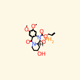 C=CCOC(=O)N1c2cc(OC)c(OC)cc2C(=O)N2CC[C@@H](O)C[C@H]2C1OP